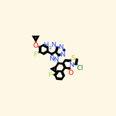 Nc1ncnc2c1c(-c1ccc(OC3CC3)c(F)c1)nn2C(c1cc2scc(Cl)n2c(=O)c1-c1cccc(F)c1)C1CC1